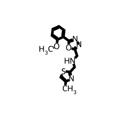 COc1ccccc1-c1nnc(CNCc2nc(C)cs2)o1